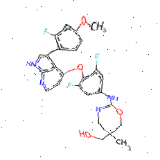 COc1ccc(-c2c[nH]c3nccc(Oc4c(F)cc(NC5=NCC(C)(CO)CO5)cc4F)c23)c(F)c1